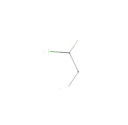 ClC(Cl)[CH2][Ga]